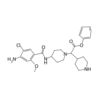 COc1cc(N)c(Cl)cc1C(=O)NC1CCN(C(C(=O)Oc2ccccc2)C2CCNCC2)CC1